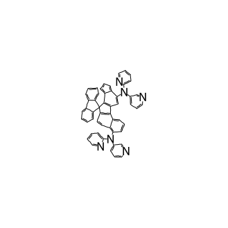 c1ccc(N(c2cccnc2)c2cccc3c4c(ccc23)C2(c3ccccc3-c3ccccc32)c2c-4cc(N(c3cccnc3)c3ccccn3)c3ccccc23)nc1